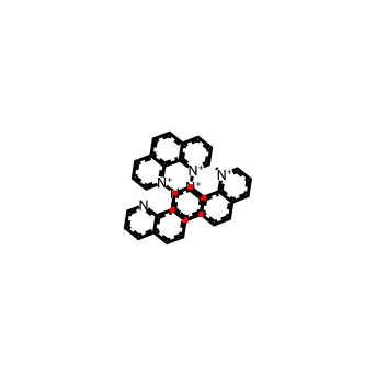 C[n+]1cccc2ccc3ccc[n+](-[n+]4cccc5ccc6ccc[n+](-[n+]7cccc8ccc9cccnc9c87)c6c54)c3c21